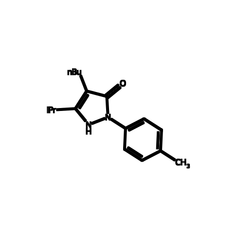 CCCCc1c(C(C)C)[nH]n(-c2ccc(C)cc2)c1=O